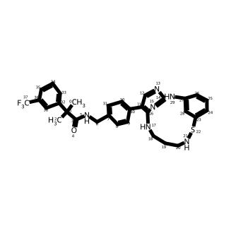 CC(C)(C(=O)NCc1ccc(-c2cnc3nc2NCCCNSc2cccc(c2)N3)cc1)c1cccc(C(F)(F)F)c1